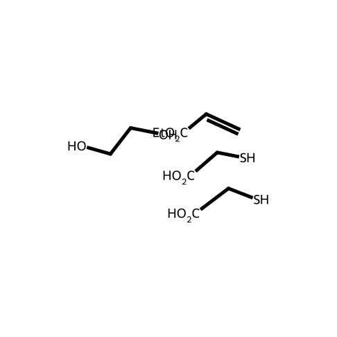 C=CC(=O)OCC.O=C(O)CS.O=C(O)CS.OCCO